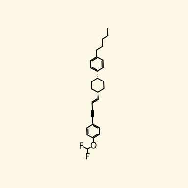 CCCCCc1ccc([C@H]2CC[C@H](C=CC#Cc3ccc(OC(F)F)cc3)CC2)cc1